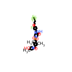 Cc1cc(C(=O)N2CCC(C)(O)CC2)cc(C)c1C=CS(=O)(=O)N1CCC2(CC1)N=C(c1ccc(OCCCC(F)(F)C(F)(F)F)c(F)c1)NC2=O